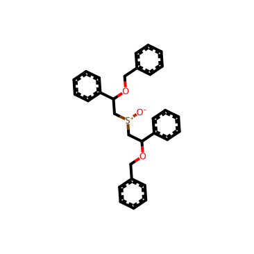 [O-][S+](CC(OCc1ccccc1)c1ccccc1)CC(OCc1ccccc1)c1ccccc1